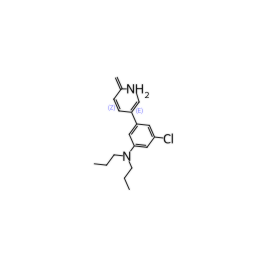 C=C(N)/C=C\C(=C/C)c1cc(Cl)cc(N(CCC)CCC)c1